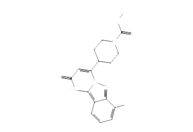 CC(C)(C)OC(=O)N1CCC(c2cc(=O)[nH]c3c4cccc(Cl)c4nn23)CC1